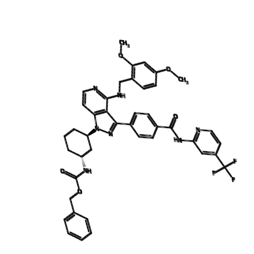 COc1ccc(CNc2nccc3c2c(-c2ccc(C(=O)Nc4cc(C(F)(F)F)ccn4)cc2)nn3[C@@H]2CCC[C@@H](NC(=O)OCc3ccccc3)C2)c(OC)c1